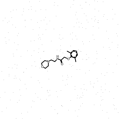 Cc1c[c]cc(C)c1OCC(=O)NCCN1CCOCC1